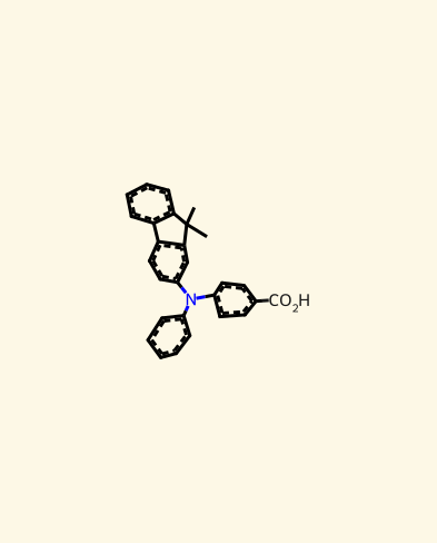 CC1(C)c2ccccc2-c2ccc(N(c3ccccc3)c3ccc(C(=O)O)cc3)cc21